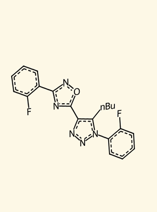 CCCCc1c(-c2nc(-c3ccccc3F)no2)nnn1-c1ccccc1F